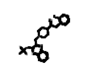 CC(C)(C)Oc1nc2ccccc2nc1CN1CCC(C(=O)Cc2ccccc2F)CC1